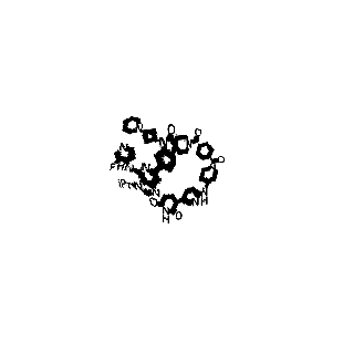 CC(C)n1cnc2cc(-c3ccc4c(c3)N([C@H]3C[C@@H](N5CCCCC5)C3)C(=O)C43CCN(C(=O)[C@H]4CC[C@H](C(=O)N5CCC(Nc6ccc(C7CCC(=O)NC7=O)cn6)CC5)CC4)CC3)nc(Nc3ccncc3F)c21